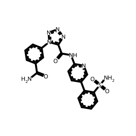 NC(=O)c1cccc(-n2nnnc2C(=O)Nc2ccc(-c3ccccc3S(N)(=O)=O)cn2)c1